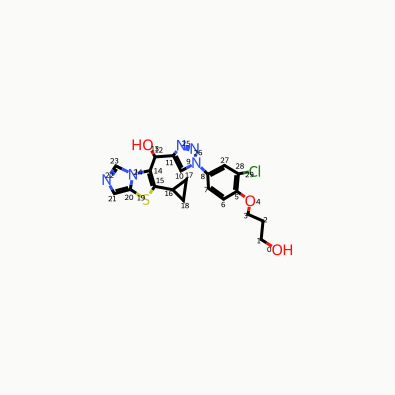 OCCCOc1ccc(-n2cc(C(O)c3c(C4CC4)sc4cncn34)nn2)cc1Cl